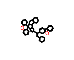 C1=CC2OC3C=CCCC3C3(C2C=C1)C1C=CC(/C(=C/C2=CCCCC2)C2C=Cc4c(oc5c4CCC=C5)C2)CC1C1C2=C(CCCC2)CCC13